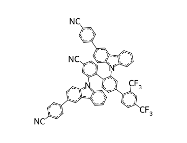 N#Cc1ccc(-c2ccc3c(c2)c2ccccc2n3-c2cc(C#N)ccc2-c2ccc(-c3ccc(C(F)(F)F)cc3C(F)(F)F)cc2-n2c3ccccc3c3cc(-c4ccc(C#N)cc4)ccc32)cc1